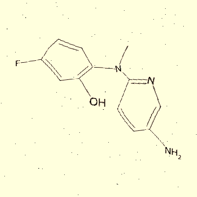 CN(c1ccc(N)cn1)c1ccc(F)cc1O